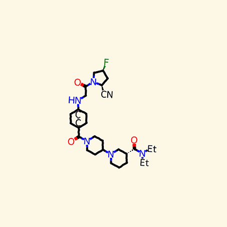 CCN(CC)C(=O)[C@@H]1CCCN(C2CCN(C(=O)C34CCC(NCC(=O)N5C[C@@H](F)C[C@H]5C#N)(CC3)CC4)CC2)C1